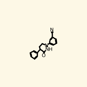 N#Cc1cccc(N2CCC(c3ccccc3)C(=O)N2)c1